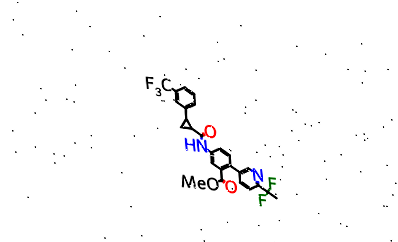 COC(=O)c1cc(NC(=O)C2CC2c2cccc(C(F)(F)F)c2)ccc1-c1ccc(C(C)(F)F)nc1